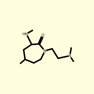 CNC1CC(C)CCN(CCN(C)C)C1=O